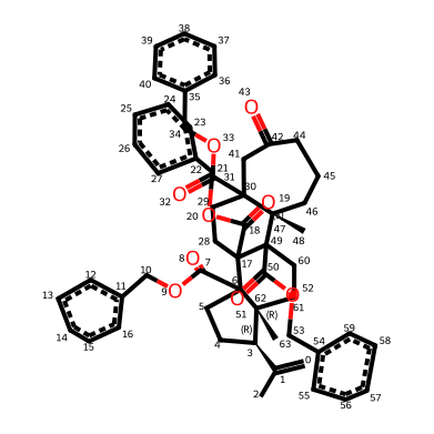 C=C(C)[C@H]1CCC2(C(=O)OCc3ccccc3)C3(C(=O)OCc4ccccc4)CCC4(C(=O)OCc5ccccc5)CC(=O)CCC[C@]4(C)C3(C(=O)OCc3ccccc3)CC[C@]12C